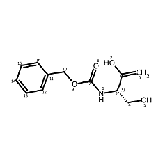 C=C(O)[C@H](CO)NC(=O)OCc1ccccc1